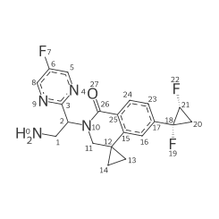 NCC(c1ncc(F)cn1)N1CC2(CC2)c2cc([C@]3(F)C[C@H]3F)ccc2C1=O